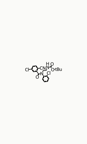 CC(C)(C)OC(=O)NCCN(C(=O)c1cc(Cl)ccc1C#N)c1ccccc1Cl